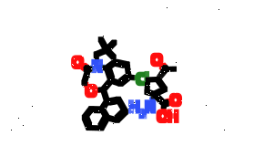 CC(=O)[C@@H]1CC[C@@](N)(C(=O)O)C1.CC(C)(C)CN1C(=O)COC(c2cccc3ccccc23)c2cc(Cl)ccc21